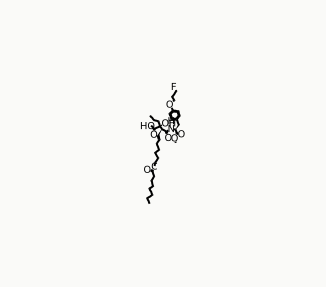 CCCCCCCC(=O)CCCCCCC=C[C@H](C(=O)N[C@@H](Cc1ccc(OCCCF)cc1)C(=O)OC)[C@@](O)(CCC)C(=O)O